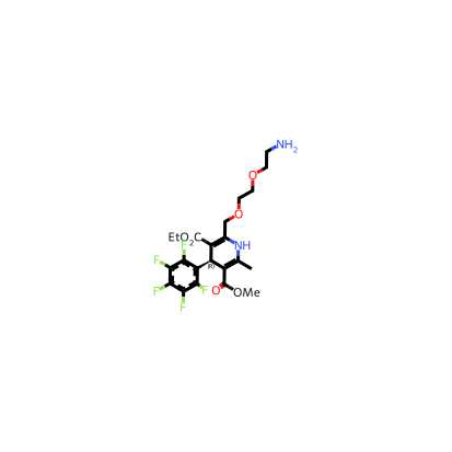 CCOC(=O)C1=C(COCCOCCN)NC(C)=C(C(=O)OC)[C@H]1c1c(F)c(F)c(F)c(F)c1F